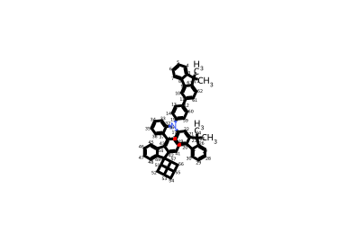 CC1(C)c2ccccc2-c2cc(-c3ccc(N(c4ccc5c(c4)C(C)(C)c4ccccc4-5)c4ccccc4-c4cccc5c4-c4ccccc4C54C5CC6CC7CC4C675)cc3)ccc21